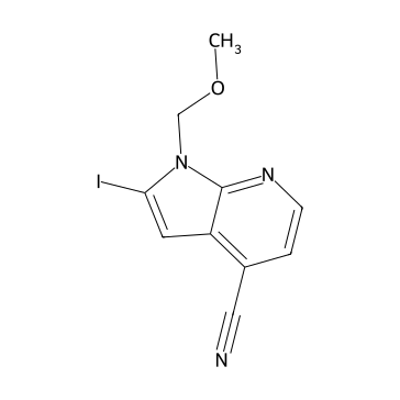 COCn1c(I)cc2c(C#N)ccnc21